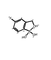 O[B-]1(O)[OH+]Cc2cc(F)ccc21